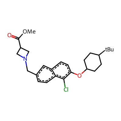 COC(=O)C1CN(Cc2ccc3c(Cl)c(OC4CCC(C(C)(C)C)CC4)ccc3c2)C1